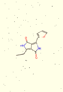 CCC1=C2C(=O)NC(c3ccco3)=C2C(=O)N1